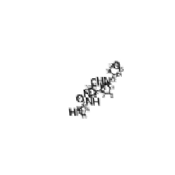 O=C(Nc1cc(-c2cccc(NCC3CCOCC3)n2)c(Cl)cn1)[C@H]1CCNC1